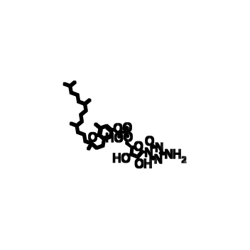 Cc1cc(OP(=O)(O)OC[C@H]2O[C@@H](n3cnc(N)nc3=O)[C@@H](O)C2O)cc2c1OC(C)(CCCC(C)CCCC(C)CCCC(C)C)CC2